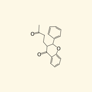 CC(=O)CCC1C(=O)c2ccccc2OC1c1ccccc1